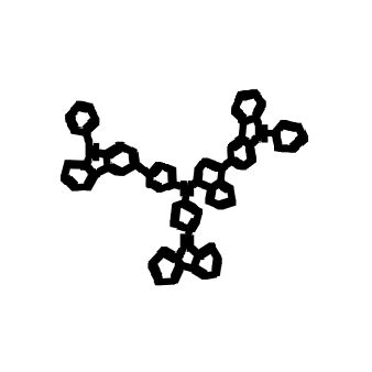 c1ccc(-n2c3ccccc3c3cc(-c4ccc(N(c5ccc(-n6c7ccccc7c7ccccc76)cc5)c5ccc(-c6ccc7c(c6)c6ccccc6n7-c6ccccc6)c6ccccc56)cc4)ccc32)cc1